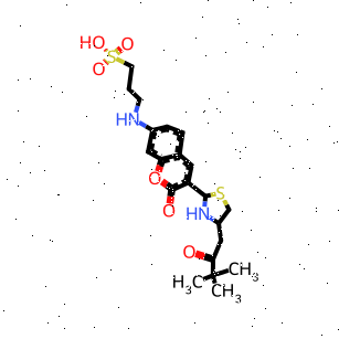 CC(C)(C)C(=O)CC1CSC(c2cc3ccc(NCCCS(=O)(=O)O)cc3oc2=O)N1